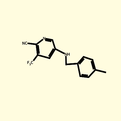 Cc1ccc(CNc2cnc(C#N)c(C(F)(F)F)c2)cc1